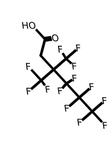 O=C(O)CC(C(F)(F)F)(C(F)(F)F)C(F)(F)C(F)(F)C(F)(F)F